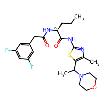 CCC[C@H](NC(=O)Cc1cc(F)cc(F)c1)C(=O)Nc1nc(C)c(C(C)N2CCOCC2)s1